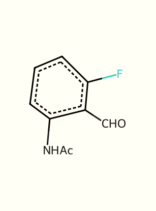 CC(=O)Nc1cccc(F)c1C=O